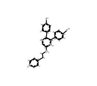 Fc1ccc(-c2ncc(OCCc3ccncc3)nc2-c2ccc(F)cc2)cc1